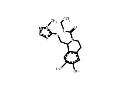 Cn1nnnc1SCC1c2cc(O)c(O)cc2CCN1C(=O)OCC(Cl)(Cl)Cl